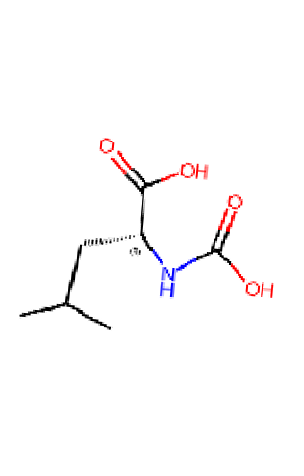 CC(C)C[C@@H](NC(=O)O)C(=O)O